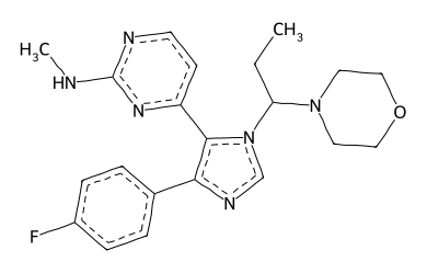 CCC(N1CCOCC1)n1cnc(-c2ccc(F)cc2)c1-c1ccnc(NC)n1